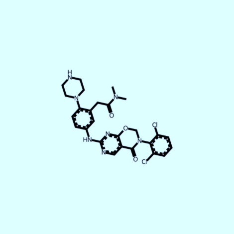 CN(C)C(=O)Cc1cc(Nc2ncc3c(n2)OCN(c2c(Cl)cccc2Cl)C3=O)ccc1N1CCNCC1